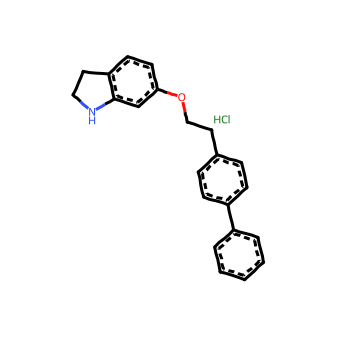 Cl.c1ccc(-c2ccc(CCOc3ccc4c(c3)NCC4)cc2)cc1